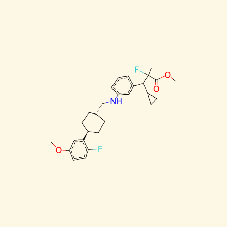 COC(=O)C(C)(F)C(c1cccc(NC[C@H]2CC[C@H](c3cc(OC)ccc3F)CC2)c1)C1CC1